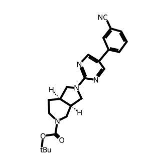 CC(C)(C)OC(=O)N1CC[C@H]2CN(c3ncc(-c4cccc(C#N)c4)cn3)C[C@H]2C1